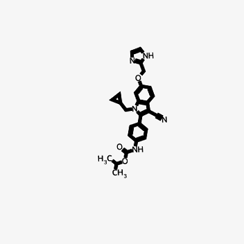 CC(C)OC(=O)Nc1ccc(-c2c(C#N)c3ccc(OCc4ncc[nH]4)cc3n2CC2CC2)cc1